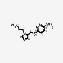 CCCn1cncc1CSc1ccc(N)nn1